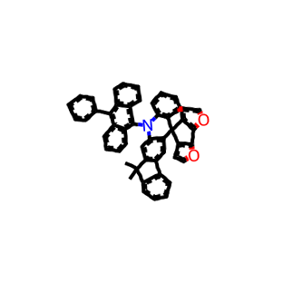 CC1(C)c2ccccc2-c2cc3c(cc21)N(c1c2ccccc2c(-c2ccccc2)c2ccccc12)c1ccccc1C31c2ccoc2-c2occc21